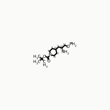 CC(C)(C)OC(=O)N1CCC(C[C@@H](N)COP)CC1